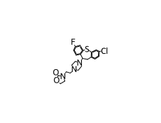 O=C1OCCN1CCN1CCN(C2Cc3ccc(Cl)cc3Sc3cc(F)ccc32)CC1